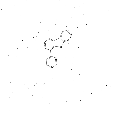 [c]1ccc2c(oc3ccccc32)c1-c1ccccn1